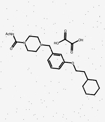 CC(=O)NC(=O)N1CCN(Cc2cccc(OCCC3CCCCC3)c2)CC1.O=C(O)C(=O)O